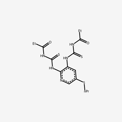 CCCSc1cnc(NC(=S)NC(=O)CC)c(NC(=S)NC(=O)CC)c1